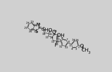 COc1ccc(-c2ccc(C(F)(F)CC(CC(O)CSc3nc4ccccc4s3)C(=O)O)cc2)cc1